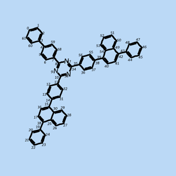 c1ccc(-c2ccc(-c3nc(-c4ccc(-c5ccc(-c6ccccc6)c6ccccc56)cc4)nc(-c4ccc(-c5ccc(-c6ccccc6)c6ccccc56)cc4)n3)cc2)cc1